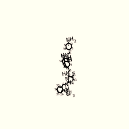 N[C@H]1CC[C@@H](CN[C@@H]2[C@@H]3CC4C[C@H]2C[C@@](CNc2nc(NCc5ccccc5OC(F)(F)F)ncc2F)(C4)C3)CC1